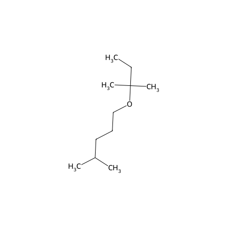 CCC(C)(C)OCCCC(C)C